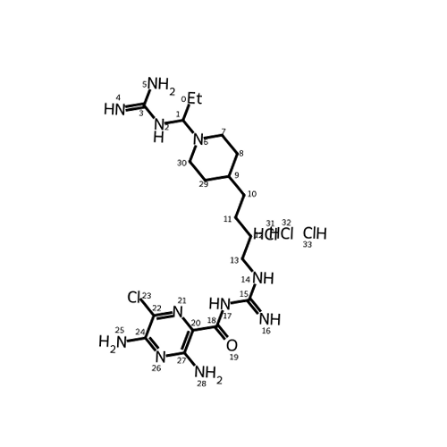 CCC(NC(=N)N)N1CCC(CCCCNC(=N)NC(=O)c2nc(Cl)c(N)nc2N)CC1.Cl.Cl.Cl